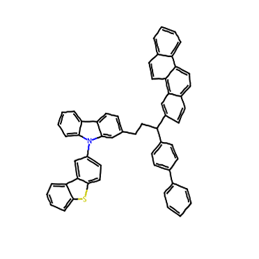 c1ccc(-c2ccc(C(CCc3ccc4c5ccccc5n(-c5ccc6sc7ccccc7c6c5)c4c3)c3ccc4ccc5c6ccccc6ccc5c4c3)cc2)cc1